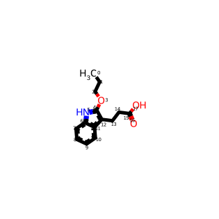 CCCOc1[nH]c2ccccc2c1CCC(=O)O